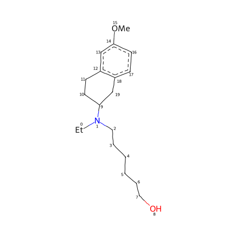 CCN(CCCCCCO)C1CCc2cc(OC)ccc2C1